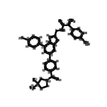 C=C(C(=O)NCc1cc2cc(-c3ccc(C(=O)N4CCC(C)(F)C4)cc3)cc(-c3ccc(F)cc3)n2n1)c1ccc(N)nc1